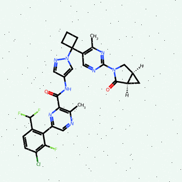 Cc1nc(N2C[C@H]3C[C@H]3C2=O)ncc1C1(n2cc(NC(=O)c3nc(-c4c(C(F)F)ccc(Cl)c4F)cnc3C)cn2)CCC1